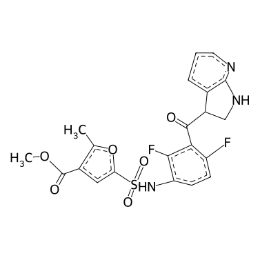 COC(=O)c1cc(S(=O)(=O)Nc2ccc(F)c(C(=O)C3CNc4ncccc43)c2F)oc1C